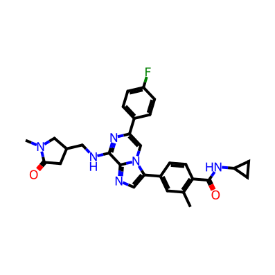 Cc1cc(-c2cnc3c(NCC4CC(=O)N(C)C4)nc(-c4ccc(F)cc4)cn23)ccc1C(=O)NC1CC1